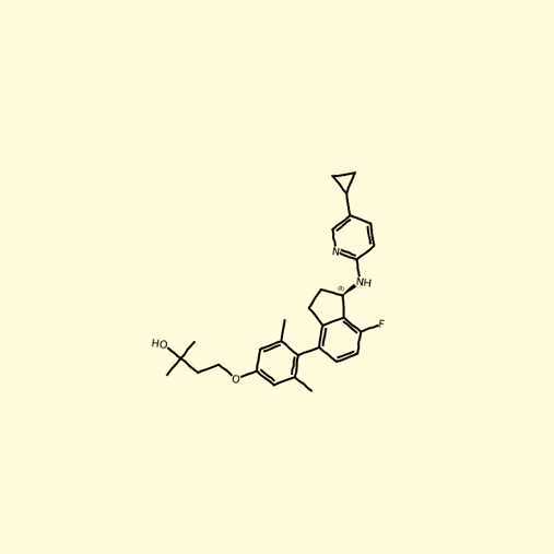 Cc1cc(OCCC(C)(C)O)cc(C)c1-c1ccc(F)c2c1CC[C@H]2Nc1ccc(C2CC2)cn1